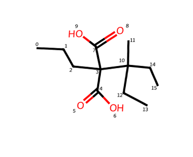 CCCC(C(=O)O)(C(=O)O)C(C)(CC)CC